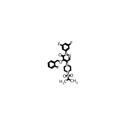 CC(C)S(=O)(=O)N1CCN(c2cnn(-c3cc(F)cc(F)c3)c(=O)c2OCc2ccccc2F)CC1